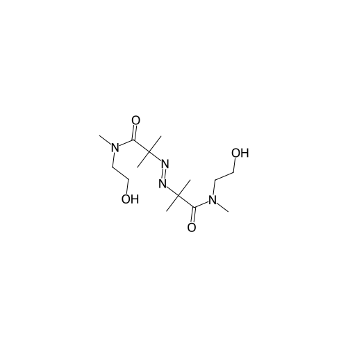 CN(CCO)C(=O)C(C)(C)N=NC(C)(C)C(=O)N(C)CCO